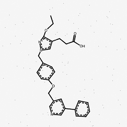 CCOc1nn(Cc2ccc(OCc3cncc(-c4ccccc4)c3)cc2)cc1CCC(=O)O